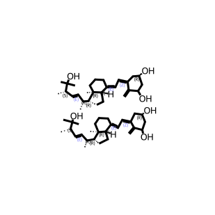 C=C1/C(=C\C=C2/CCC[C@]3(C)[C@@H]([C@H](C)/C=C/[C@H](C)C(C)(C)O)CC[C@@H]23)C[C@@H](O)CC1O.C=C1/C(=C\C=C2/CCC[C@]3(C)[C@@H]([C@H](C)/C=C/[C@H](C)C(C)(C)O)CC[C@@H]23)C[C@@H](O)CC1O